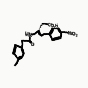 Cc1ccc(CC(=O)N[C@H](CC(=O)O)Cc2ccc([N+](=O)[O-])cc2)cc1